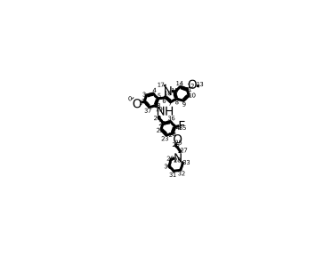 COc1ccc(-c2cc3ccc(OC)cc3n2C)c(NCc2ccc(OCCN3CCCCC3)c(F)c2)c1